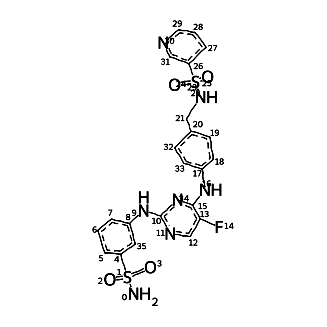 NS(=O)(=O)c1cccc(Nc2ncc(F)c(Nc3ccc(CNS(=O)(=O)c4cccnc4)cc3)n2)c1